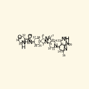 CCC1(Cn2nc(C)c3c2CCN(c2cc(C)nc(NC)c2C=N)C3)CCC(NC(=O)[C@@H]2COCCN2)CC1